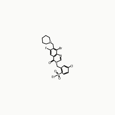 CCS(=O)(=O)c1ccc(Cl)cc1Cn1cnc2c(Br)c(CN3CCCCC3)c(F)cc2c1=O